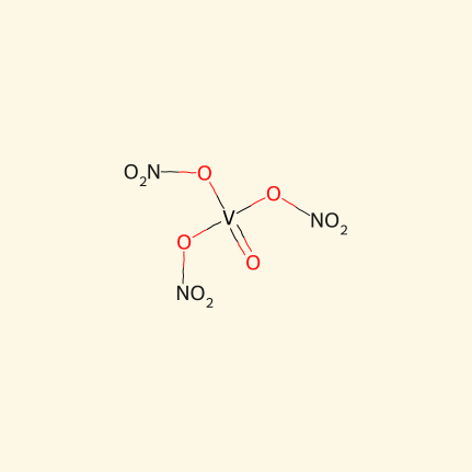 O=[N+]([O-])[O][V](=[O])([O][N+](=O)[O-])[O][N+](=O)[O-]